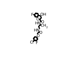 C=C(CCNC(=O)COc1ccc(Cl)c(F)c1)NC(=O)C1CC(O)c2ccc(F)cc2O1